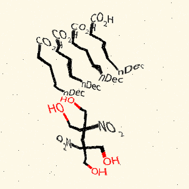 CCCCCCCCCCCCCC(=O)O.CCCCCCCCCCCCCC(=O)O.CCCCCCCCCCCCCC(=O)O.CCCCCCCCCCCCCC(=O)O.O=[N+]([O-])C(CO)(CO)C(CO)(CO)[N+](=O)[O-]